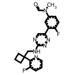 CN(C=O)c1ccc(F)c(-c2cnc(NCC3(c4ncccc4F)CCC3)nn2)c1